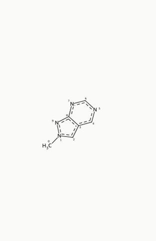 Cn1cc2cncnc2n1